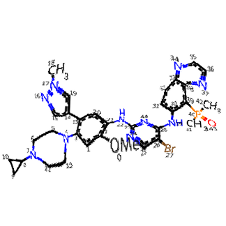 COc1cc(N2CCN(C3CC3)CC2)c(-c2cnn(C)c2)cc1Nc1ncc(Br)c(Nc2ccc3nccnc3c2P(C)(C)=O)n1